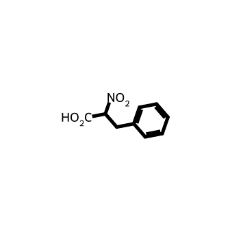 O=C(O)C(Cc1ccccc1)[N+](=O)[O-]